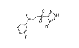 O=S(=O)(CC=C(F)c1cccc(F)c1)c1n[nH]cc1Cl